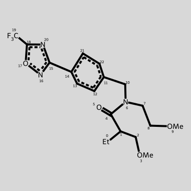 CCC(COC)C(=O)N(CCOC)Cc1ccc(-c2noc(C(F)(F)F)n2)cc1